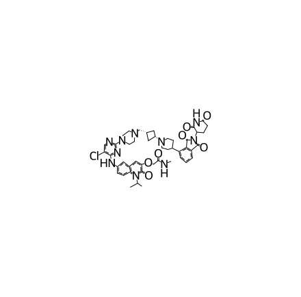 CNC(=O)COc1cc2cc(Nc3nc(N4CCN(C[C@H]5C[C@@H](N6CCC(c7cccc8c7C(=O)N(C7CCC(=O)NC7=O)C8=O)CC6)C5)CC4)ncc3Cl)ccc2n(C(C)C)c1=O